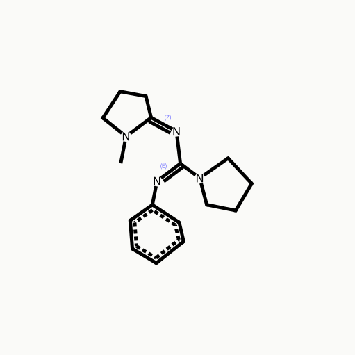 CN1CCC/C1=N/C(=N/c1ccccc1)N1CCCC1